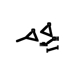 C1CO1.CC1CO1.CCCCO.II